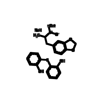 CCCCCCCC[S+]([O-])C(C)Cc1ccc2c(c1)OCO2.Oc1ccccc1Sc1ccccc1O.[NaH]